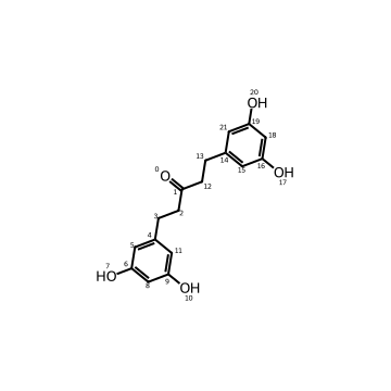 O=C(CCc1cc(O)cc(O)c1)CCc1cc(O)cc(O)c1